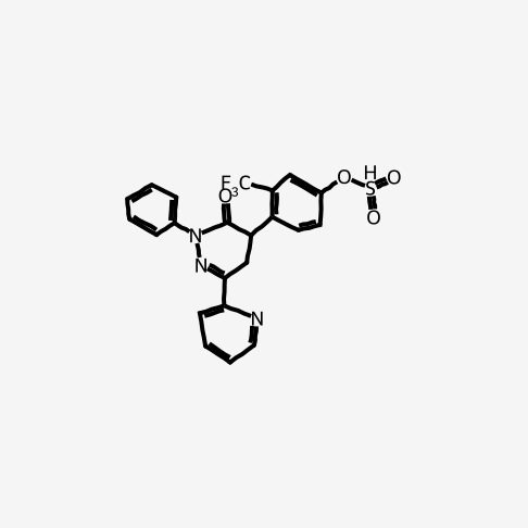 O=C1C(c2ccc(O[SH](=O)=O)cc2C(F)(F)F)CC(c2ccccn2)=NN1c1ccccc1